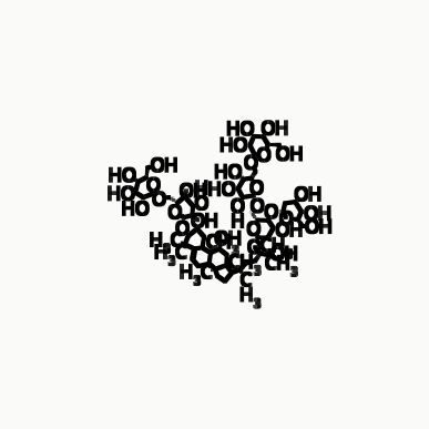 C[C@H](CC[C@@H](O[C@H]1C[C@@H](O)[C@H](O[C@@H]2C[C@@H](O)[C@H](O)[C@@H](CO)O2)[C@@H](CO[C@H]2O[C@H](CO[C@H]3O[C@H](CO)[C@@H](O)[C@H](O)[C@H]3O)[C@@H](O)[C@H](O)[C@H]2O)O1)C(C)(C)O)C1CC[C@@]2(C)C3CC=C4C(CC[C@H](O[C@@H]5O[C@H](CO[C@H]6O[C@H](CO)[C@@H](O)[C@H](O)[C@H]6O)[C@@H](O)[C@H](O)[C@H]5O)C4(C)C)[C@]3(C)[C@H](O)C[C@]12C